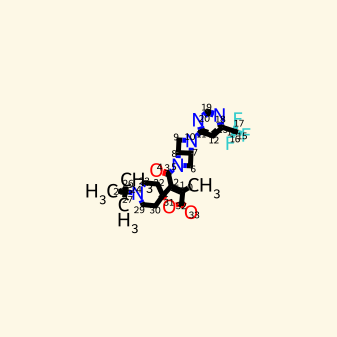 CC1=C(C(=O)N2CC3C2CN3c2cc(C(F)(F)F)ncn2)C2(CCN(C(C)(C)C)CC2)OC1=O